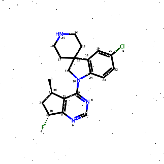 C[C@@H]1C[C@@H](F)c2ncnc(N3CC4(CCNCC4)c4cc(Cl)ccc43)c21